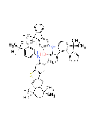 CC(C)(C)c1ccc(Nc2cc3sc4cc5c(cc4c3cc2-c2ccc3c4c6c(ccc4n4c3c2Bc2cc3c(cc2-4)-c2ccccc2C3(C)C)C(C)(C)c2ccccc2-6)C(C)(C)CCC5(C)C)cc1